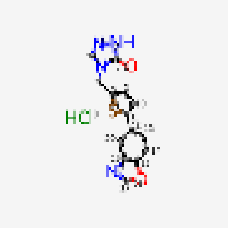 Cl.O=c1[nH]ncn1Cc1ccc(-c2ccc3ocnc3c2)s1